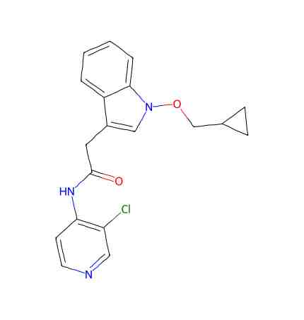 O=C(Cc1cn(OCC2CC2)c2ccccc12)Nc1ccncc1Cl